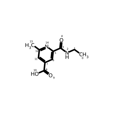 CCNC(=O)c1cc(C(=O)O)cc(C)n1